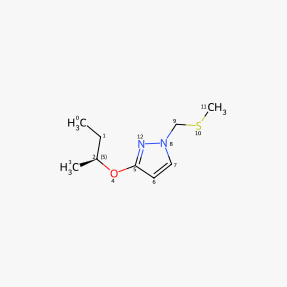 CC[C@H](C)Oc1ccn(CSC)n1